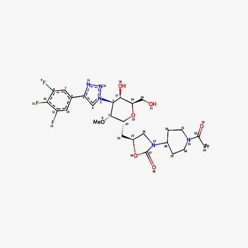 CO[C@@H]1[C@@H](n2cc(-c3cc(F)c(F)c(F)c3)nn2)[C@@H](O)[C@@H](CO)O[C@@H]1C[C@H]1CN(C2CCN(C(=O)C(C)C)CC2)C(=O)O1